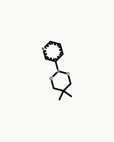 CC1(C)COB(c2cccnc2)OC1